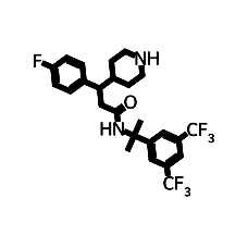 CC(C)(NC(=O)CC(c1ccc(F)cc1)C1CCNCC1)c1cc(C(F)(F)F)cc(C(F)(F)F)c1